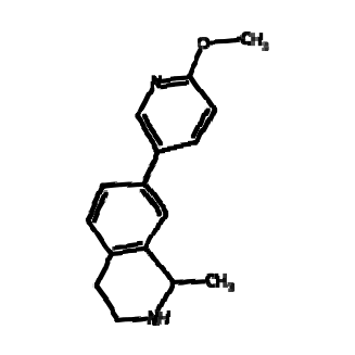 COc1ccc(-c2ccc3c(c2)C(C)NCC3)cn1